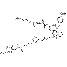 CNCCNCC(=O)NCC(=O)NCC(=O)N[C@H](Cc1ccc(OC)cc1)C(=O)N1CCC[C@]1(C)C(=O)NCCSCc1cccc(CSCCC(=O)NCC(=O)N[C@H](C=O)C(C)(C)C)c1